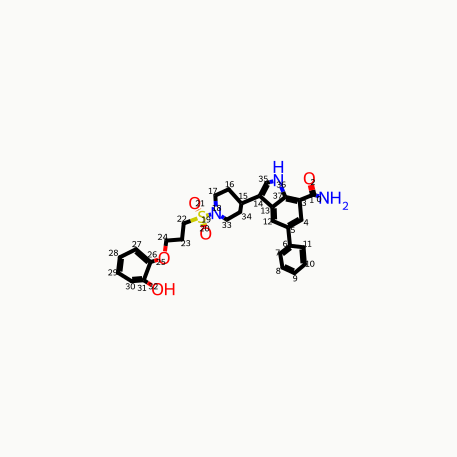 NC(=O)c1cc(-c2ccccc2)cc2c(C3CCN(S(=O)(=O)CCCOc4ccccc4O)CC3)c[nH]c12